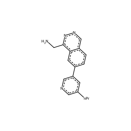 CCCc1cncc(-c2ccc3cnnc(CN)c3c2)c1